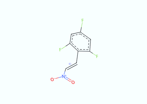 O=[N+]([O-])/C=C/c1c(F)cc(F)cc1F